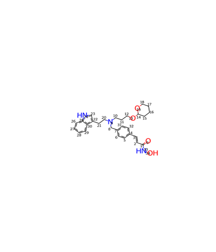 O=C(/C=C/c1ccc(CN(CCCOC2CCCCO2)CCc2c[nH]c3ccccc23)cc1)NO